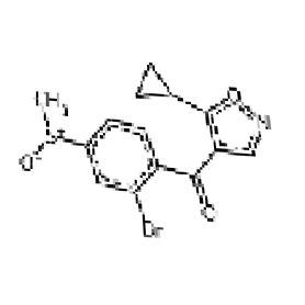 C[S+]([O-])c1ccc(C(=O)c2cnoc2C2CC2)c(Br)c1